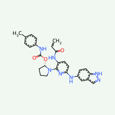 C=CC(=O)Nc1ccc(Nc2ccc3[nH]ncc3c2)nc1N1CCC[C@@H]1OC(=O)Nc1ccc(C)cc1